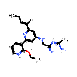 CCC=C(C)c1cc(NCC(=N)/N=C(/C)N)cc(-c2cccnc2OCC)n1